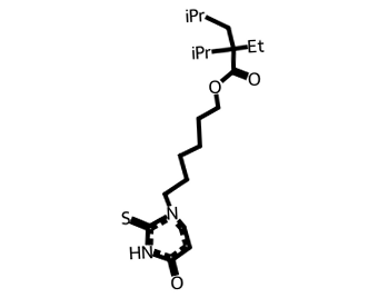 CCC(CC(C)C)(C(=O)OCCCCCCn1ccc(=O)[nH]c1=S)C(C)C